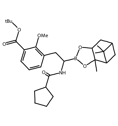 COc1c(CC(NC(=O)C2CCCC2)B2OC3CC4CC(C4(C)C)C3(C)O2)cccc1C(=O)OC(C)(C)C